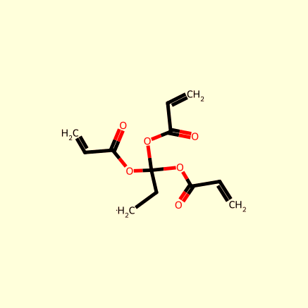 [CH2]CC(OC(=O)C=C)(OC(=O)C=C)OC(=O)C=C